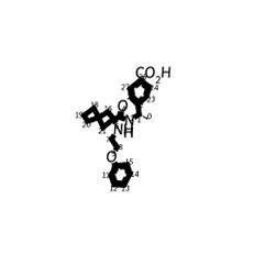 C[C@H](NC(=O)C1(NCCOc2ccccc2)CC2(CCC2)C1)c1ccc(C(=O)O)cc1